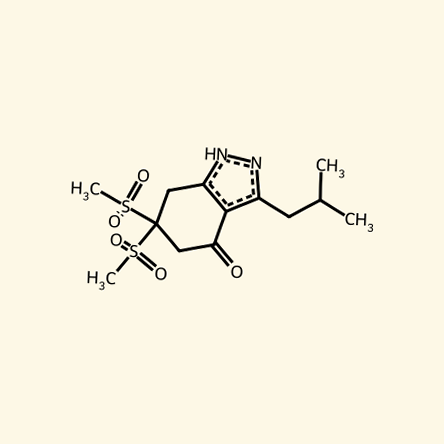 CC(C)Cc1n[nH]c2c1C(=O)CC(S(C)(=O)=O)(S(C)(=O)=O)C2